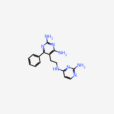 Nc1nccc(NCCc2c(N)nc(N)nc2-c2ccccc2)n1